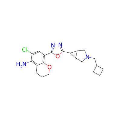 Nc1c(Cl)cc(-c2nnc(C3C4CN(CC5CCC5)CC43)o2)c2c1CCCO2